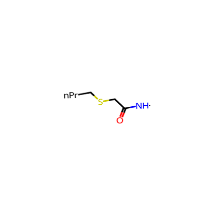 CCCCSCC([NH])=O